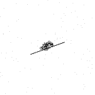 Br.CC(=O)OCC(=O)[C@@]1(O)CC[C@H]2[C@@H]3C[C@H](C)C4=CC(=O)C=C[C@]4(C)[C@H]3[C@@H](O)C[C@@]21C.CCCCCCCCCCCCCCCCCCNCCCCCCCCCCCCCCCCCC